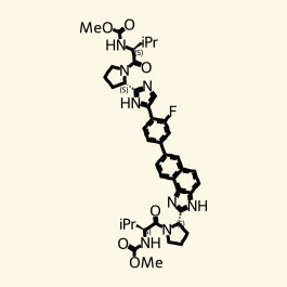 COC(=O)N[C@H](C(=O)N1CCC[C@H]1c1ncc(-c2ccc(-c3ccc4c(ccc5[nH]c([C@@H]6CCCN6C(=O)[C@@H](NC(=O)OC)C(C)C)nc54)c3)cc2F)[nH]1)C(C)C